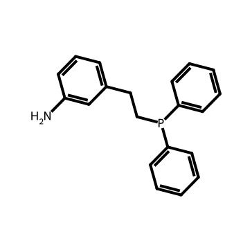 Nc1cccc(CCP(c2ccccc2)c2ccccc2)c1